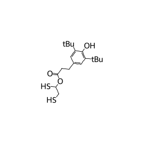 CC(C)(C)c1cc(CCC(=O)OC(S)CS)cc(C(C)(C)C)c1O